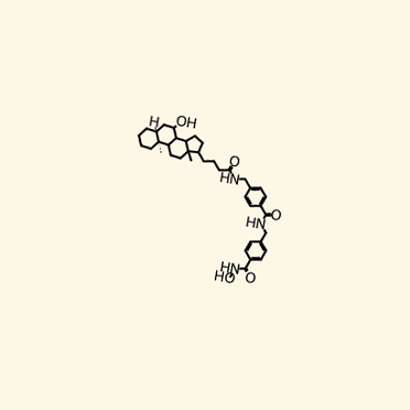 CC12CCC3C(C(O)C[C@@H]4CCCC[C@]34C)C1CCC2CCCC(=O)NCc1ccc(C(=O)NCc2ccc(C(=O)NO)cc2)cc1